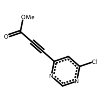 COC(=O)C#Cc1cc(Cl)ncn1